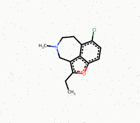 CCc1oc2ccc(Cl)c3c2c1CN(C)CC3